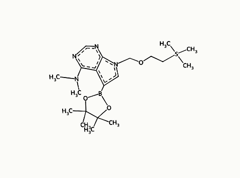 CN(C)c1ncnc2c1c(B1OC(C)(C)C(C)(C)O1)cn2COCCS(C)(C)C